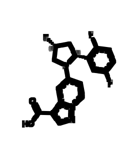 O=C(O)c1cnn2ccc(N3C[C@H](F)C[C@@H]3c3cc(F)ccc3F)cc12